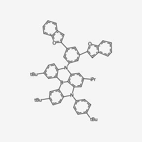 CC(C)c1cc2c3c(c1)N(c1cc(-c4cc5ccccc5o4)cc(-c4cc5ccccc5o4)c1)c1ccc(C(C)(C)C)cc1B3c1cc(C(C)(C)C)ccc1N2c1ccc(C(C)(C)C)cc1